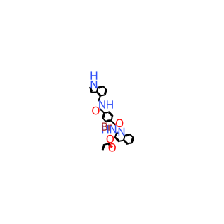 C=CC(=O)Oc1cc2ccccc2nc1NC(=O)c1ccc(C(=O)NCc2cccc3[nH]ccc23)cc1Br